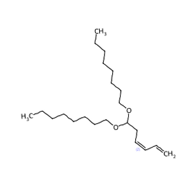 C=C/C=C\CC(OCCCCCCCC)OCCCCCCCC